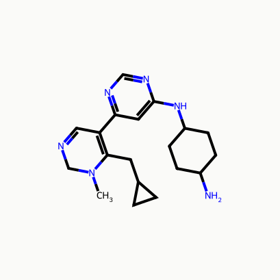 CN1CN=CC(c2cc(NC3CCC(N)CC3)ncn2)=C1CC1CC1